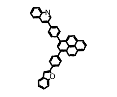 c1ccc2ncc(-c3ccc(-c4cc(-c5ccc(-c6cc7ccccc7o6)cc5)c5ccc6cccc7ccc4c5c76)cc3)cc2c1